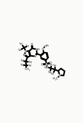 [2H]C([2H])([2H])n1nc(C([2H])([2H])C([2H])([2H])C)c2nc(-c3cc(S(=O)(=O)NC([2H])([2H])C([2H])([2H])C4CCCN4C)ccc3OCCC)[nH]c(=O)c21